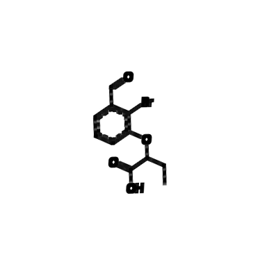 CCC(Oc1cccc(C=O)c1Br)C(=O)O